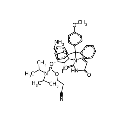 COc1ccc(C(c2ccccc2)(c2ccccc2)[N+]2([C@@H]3O[C@H](CN)[C@@H](OP(OCCC#N)N(C(C)C)C(C)C)[C@H]3F)C=CC(=O)NC2=O)cc1